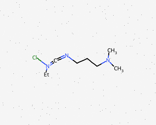 CC[N+](Cl)=C=NCCCN(C)C